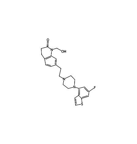 O=C1CCc2ccc(CCN3CCN(c4cc(F)cc5sccc45)CC3)cc2N1CO